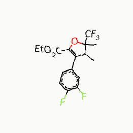 CCOC(=O)C1=C(c2ccc(F)c(F)c2)C(C)C(C)(C(F)(F)F)O1